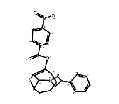 O=C(O/C1=C2/SC(CCCC1)C2N1CC(c2ccccc2)C1)c1ccc([N+](=O)[O-])cc1